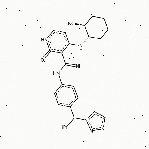 CC(C)C(c1ccc(NC(=N)c2c(N[C@H]3CCCC[C@@H]3C#N)cc[nH]c2=O)cc1)n1ccnn1